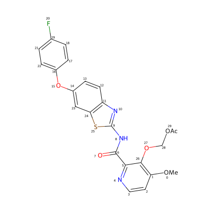 COc1ccnc(C(=O)Nc2nc3ccc(Oc4ccc(F)cc4)cc3s2)c1OCOC(C)=O